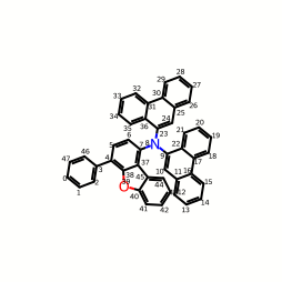 c1ccc(-c2ccc(N(c3cc4ccccc4c4ccccc34)c3cc4ccccc4c4ccccc34)c3c2oc2ccccc23)cc1